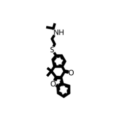 CC(C)NCCSc1ccc2c(c1)C(C)(C)c1oc3ccccc3c1C2=O